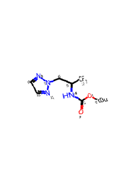 CC(C)(C)OC(=O)NC(Cn1nccn1)C(F)(F)F